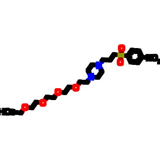 C#CCOCCOCCOCCOCCN1CCN(CCCS(=O)(=O)c2ccc([N+](=O)[O-])cc2)CC1